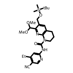 CCc1cc(NC(=O)N2CCCc3cc(CO[Si](C)(C)C(C)(C)C)c(C(OC)OC)nc32)ncc1C#N